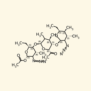 CC[C@@H]1O[C@H](O[C@H]2[C@H](C)C(C)[C@H](O[C@@H]3[C@H](CC)O[C@@H](OC(C)=O)C(N=[N+]=[N-])[C@H]3C)O[C@H]2C(C)=O)C(N=[N+]=[N-])[C@@H](C)[C@@H]1C